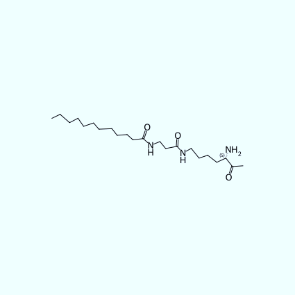 CCCCCCCCCCCC(=O)NCCC(=O)NCCCC[C@H](N)C(C)=O